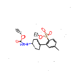 CCOS(=O)(=O)c1ccc(C)cc1C1=CCC(NC(=O)OC(C)(C)C)CC1